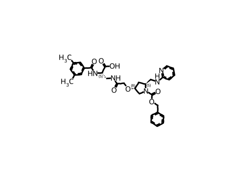 Cc1cc(C)cc(C(=O)N[C@@H](CNC(=O)CO[C@@H]2C[C@@H](CNc3ccccn3)N(C(=O)OCc3ccccc3)C2)C(=O)O)c1